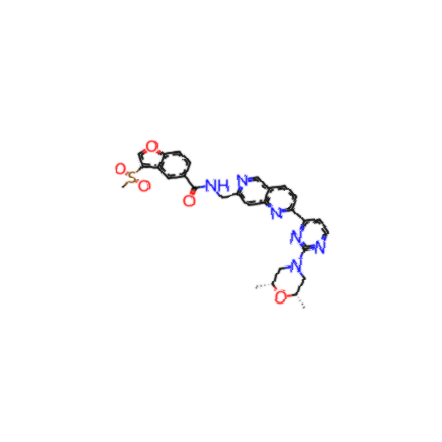 C[C@@H]1CN(c2nccc(-c3ccc4cnc(CNC(=O)c5ccc6occ(S(C)(=O)=O)c6c5)cc4n3)n2)C[C@H](C)O1